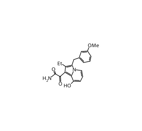 CCc1c(C(=O)C(N)=O)c2c(O)cccn2c1Cc1cccc(OC)c1